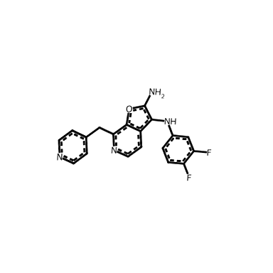 Nc1oc2c(Cc3ccncc3)nccc2c1Nc1ccc(F)c(F)c1